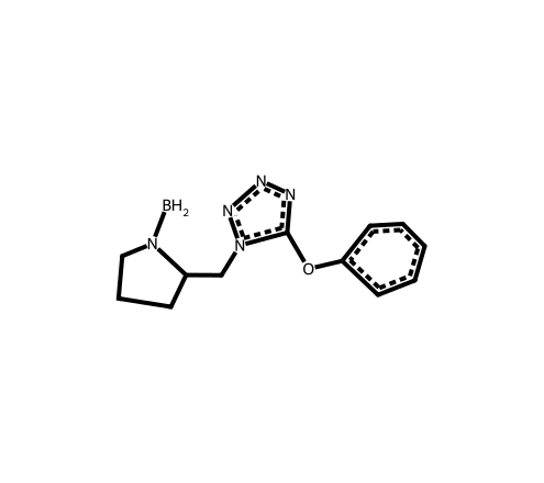 BN1CCCC1Cn1nnnc1Oc1ccccc1